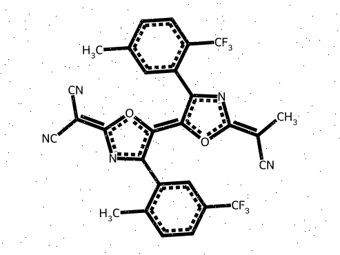 C/C(C#N)=c1\nc(-c2cc(C)ccc2C(F)(F)F)/c(=c2\oc(=C(C#N)C#N)nc2-c2cc(C(F)(F)F)ccc2C)o1